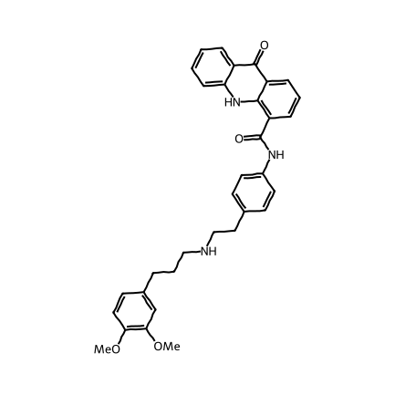 COc1ccc(CCCNCCc2ccc(NC(=O)c3cccc4c(=O)c5ccccc5[nH]c34)cc2)cc1OC